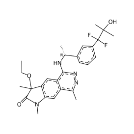 CCOC1(C)C(=O)N(C)c2cc3c(C)nnc(N[C@H](C)c4cccc(C(F)(F)C(C)(C)O)c4)c3cc21